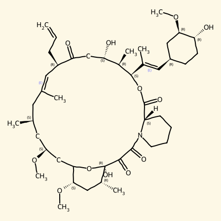 C=CC[C@@H]1/C=C(\C)C[C@H](C)C[C@H](OC)CC2O[C@@](O)(C(=O)C(=O)N3CCCC[C@H]3C(=O)O[C@H](/C(C)=C/[C@@H]3CC[C@@H](O)[C@H](OC)C3)[C@H](C)[C@@H](O)CC1=O)[C@H](C)C[C@@H]2OC